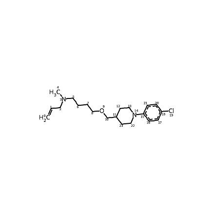 C=CCN(C)CCCCOCC1CCN(c2[c]cc(Cl)cc2)CC1